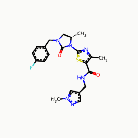 Cc1nc(N2C(=O)N(Cc3ccc(F)cc3)C[C@@H]2C)sc1C(=O)NCc1cnn(C)c1